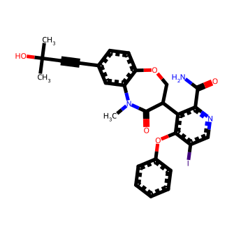 CN1C(=O)C(c2c(C(N)=O)ncc(I)c2Oc2ccccc2)COc2ccc(C#CC(C)(C)O)cc21